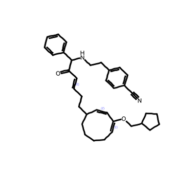 N#Cc1ccc(CCNC(C(=O)/C=C/CCC2/C=C\C(OCC3CCCC3)=C/CCCC2)c2ccccc2)cc1